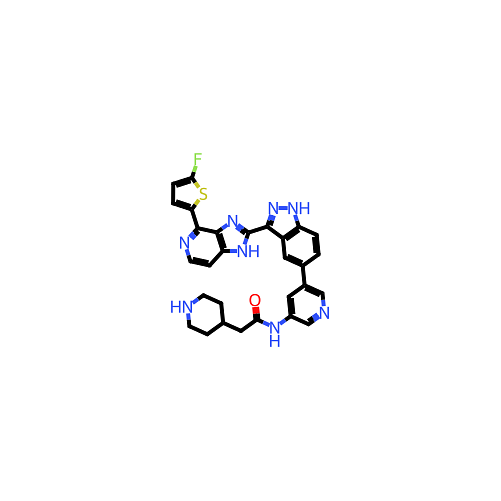 O=C(CC1CCNCC1)Nc1cncc(-c2ccc3[nH]nc(-c4nc5c(-c6ccc(F)s6)nccc5[nH]4)c3c2)c1